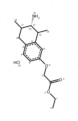 CCOC(=O)COc1ccc2c(c1)C(C)[C@@H](N)C(C)C2.Cl